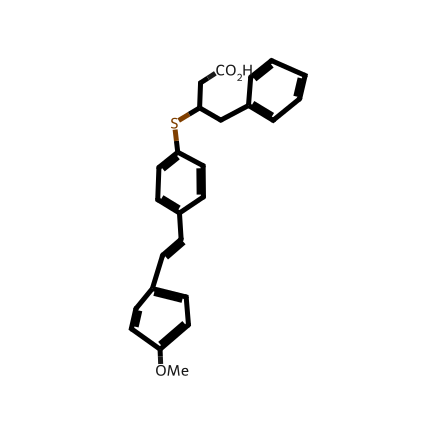 COc1ccc(C=Cc2ccc(SC(CC(=O)O)Cc3ccccc3)cc2)cc1